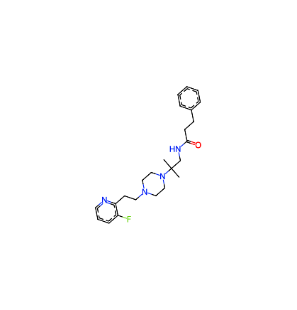 CC(C)(CNC(=O)CCc1ccccc1)N1CCN(CCc2ncccc2F)CC1